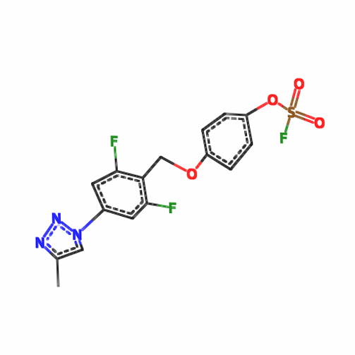 Cc1cn(-c2cc(F)c(COc3ccc(OS(=O)(=O)F)cc3)c(F)c2)nn1